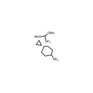 C1CC1.COC([SiH3])OC.NC1CCCCC1